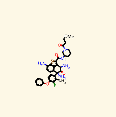 COCCC(=O)N1CCCC(NC(=O)c2sc3c(N)ccc4c3c2C(N)C(=O)C4(N)c2ccc(Oc3ccccc3)c(F)c2C)C1